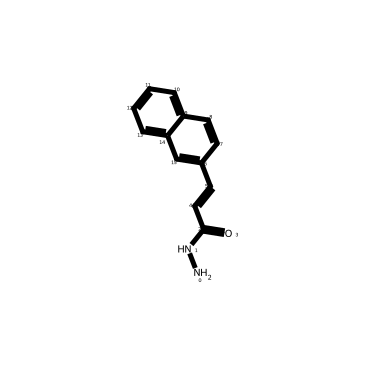 NNC(=O)C=Cc1ccc2ccccc2c1